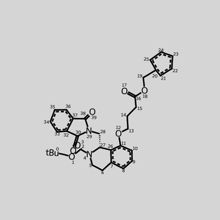 CC(C)(C)OC(=O)N1CCc2cccc(OCCCC(=O)OCc3ccccc3)c2[C@H]1CN1C(=O)c2ccccc2C1=O